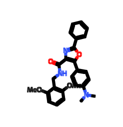 COc1cccc(OC)c1CNC(=O)c1nc(-c2ccccc2)oc1-c1ccc(N(C)C)cc1